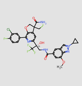 COc1cc(C(=O)NC[C@](O)(c2cc3c(c(-c4ccc(F)c(Cl)c4)n2)OCC3(CF)C(N)=O)C(F)(F)F)cc2cn(C3CC3)nc12